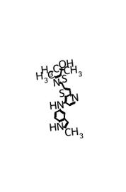 Cc1cc2cc(Nc3ccnc4cc(-c5nc(C)c(C(C)(C)O)s5)sc34)ccc2[nH]1